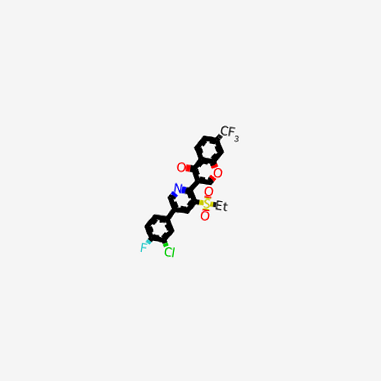 CCS(=O)(=O)c1cc(-c2ccc(F)c(Cl)c2)cnc1-c1coc2cc(C(F)(F)F)ccc2c1=O